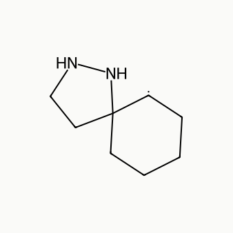 [CH]1CCCCC12CCNN2